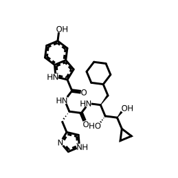 O=C(N[C@@H](Cc1c[nH]cn1)C(=O)N[C@@H](CC1CCCCC1)[C@@H](O)[C@@H](O)C1CC1)c1cc2cc(O)ccc2[nH]1